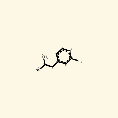 CC(C#N)Cc1ccnc(F)c1